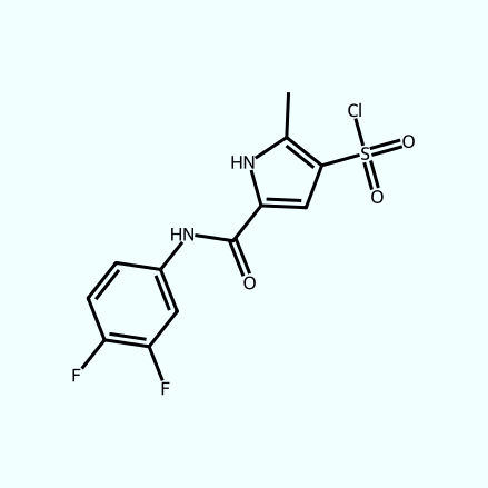 Cc1[nH]c(C(=O)Nc2ccc(F)c(F)c2)cc1S(=O)(=O)Cl